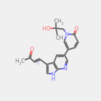 CC(=O)/C=C/c1c[nH]c2ncc(-c3ccc(=O)n(CC(C)(C)O)c3)cc12